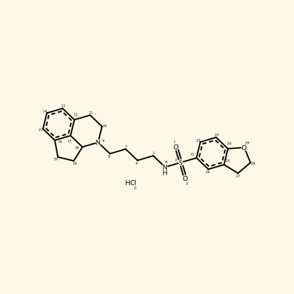 Cl.O=S(=O)(NCCCCN1CCc2cccc3c2C1CC3)c1ccc2c(c1)CCO2